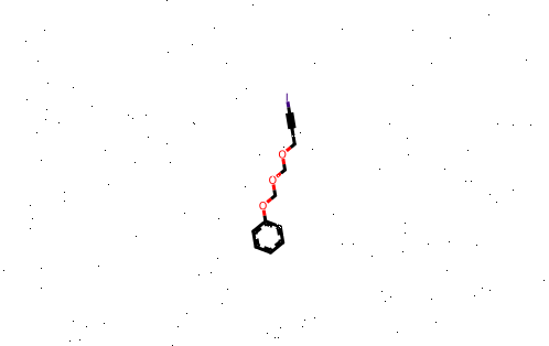 IC#CCOCOCOc1ccccc1